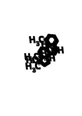 C[C@H]1CCC=C2CC[C@@H]3[C@H](CC[C@@]4(C)[C@H]3CC[C@]4(C)O)[C@]21CO